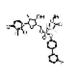 CC(C)OC(=O)[C@H](C)NP(=O)(OC[C@H]1O[C@@H](n2ccc(=O)[nH]c2=O)[C@@H](C)[C@@H]1O)Oc1ccc(-c2cccc(F)c2)cc1